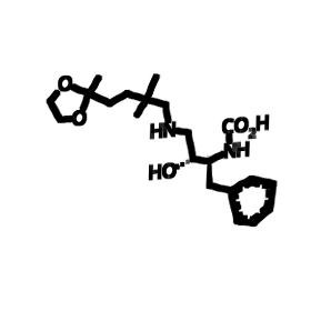 CC(C)(CCC1(C)OCCO1)CNC[C@@H](O)[C@H](Cc1ccccc1)NC(=O)O